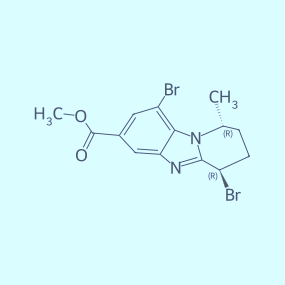 COC(=O)c1cc(Br)c2c(c1)nc1n2[C@H](C)CC[C@H]1Br